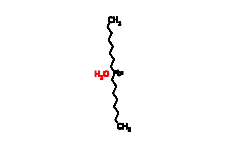 CCCCCCC[CH2][Pb][CH2]CCCCCCC.O